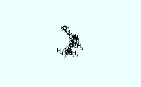 Cc1cc(B2OC(C)(C)C(C)(C)O2)ccc1NC(=O)c1c(OCCOCc2ccccc2)cnn1PI